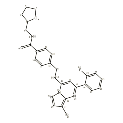 O=C(NCC1CCCO1)c1ccc(CNc2cc(-c3ccccc3F)nc3c(Br)cnn23)cc1